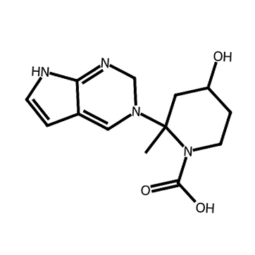 CC1(N2C=c3cc[nH]c3=NC2)CC(O)CCN1C(=O)O